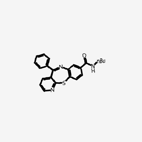 CCCCNC(=O)c1ccc2c(c1)N=C(c1ccccc1)c1cccnc1S2